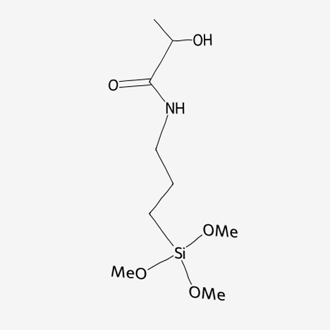 CO[Si](CCCNC(=O)C(C)O)(OC)OC